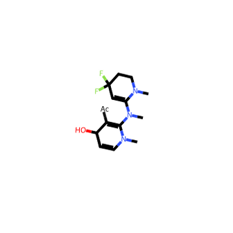 CC(=O)C1=C(N(C)C2=CC(F)(F)CCN2C)N(C)C=CC1O